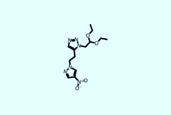 CCOC(Cn1nncc1CCn1cc([N+](=O)[O-])cn1)OCC